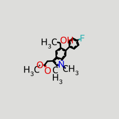 COC(=O)Cc1c(C)n(C)c2cc(-c3ccc(F)cc3)c(C(C)O)cc12